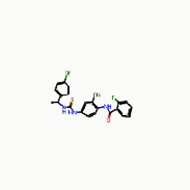 C[C@H](NC(=S)Nc1ccc(NC(=O)c2ccccc2F)c(C#N)c1)c1ccc(Br)cc1